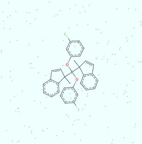 C[C]1([Zr]([O]c2cccc(F)c2)([O]c2cccc(F)c2)[C]2(C)C=Cc3ccccc32)C=Cc2ccccc21